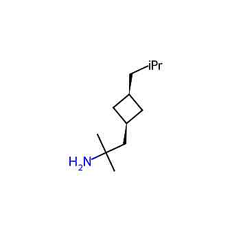 CC(C)C[C@H]1C[C@@H](CC(C)(C)N)C1